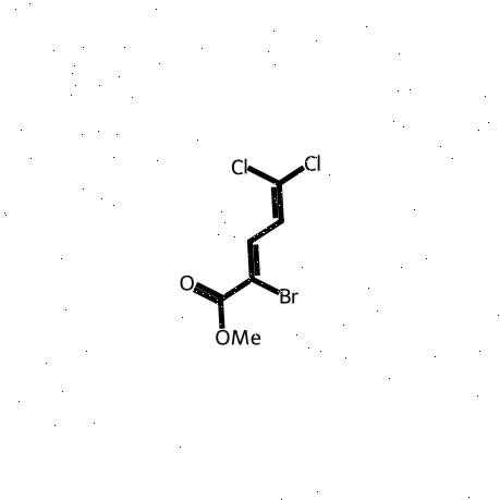 COC(=O)/C(Br)=C/C=C(Cl)Cl